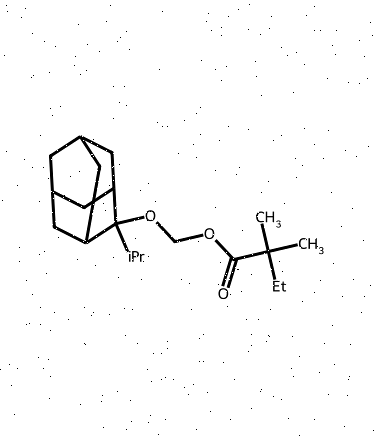 CCC(C)(C)C(=O)OCOC1(C(C)C)C2CC3CC(C2)CC1C3